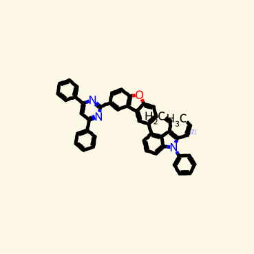 C=Cc1c(/C=C\C)n(-c2ccccc2)c2cccc(-c3ccc4oc5ccc(-c6nc(-c7ccccc7)cc(-c7ccccc7)n6)cc5c4c3)c12